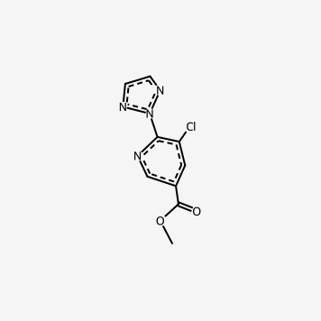 COC(=O)c1cnc(-n2nccn2)c(Cl)c1